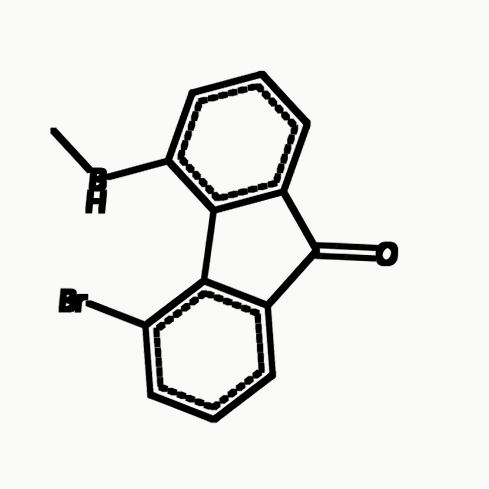 CBc1cccc2c1-c1c(Br)cccc1C2=O